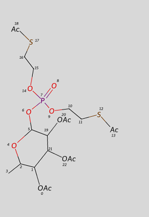 CC(=O)OC1C(C)OC(OP(=O)(OCCSC(C)=O)OCCSC(C)=O)C(OC(C)=O)C1OC(C)=O